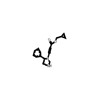 O=C(C#CN1CNCC1c1ccccc1)OCC1CC1